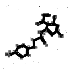 COC(=O)c1c(Cl)cc(Cl)cc1NC(=O)CSc1ccc(N)cc1